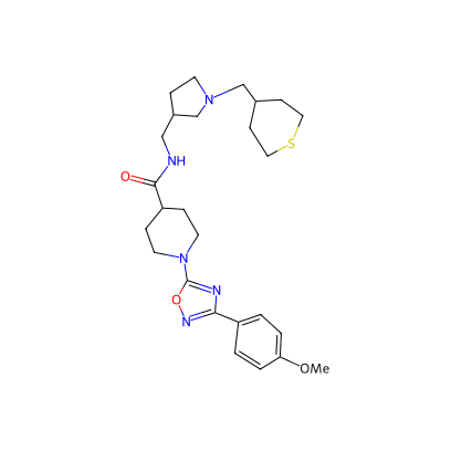 COc1ccc(-c2noc(N3CCC(C(=O)NCC4CCN(CC5CCSCC5)C4)CC3)n2)cc1